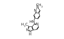 Cc1n[nH]c2ccnc(Nc3ccc4cn(C)nc4c3)c12